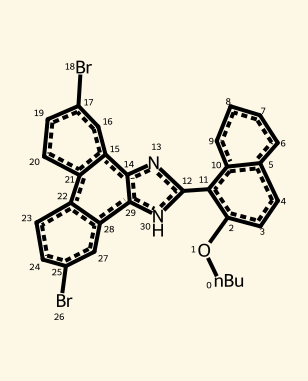 CCCCOc1ccc2ccccc2c1-c1nc2c3cc(Br)ccc3c3ccc(Br)cc3c2[nH]1